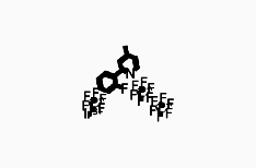 Cc1ccnc(-c2ccccc2F)c1.F[P-](F)(F)(F)(F)F.F[P-](F)(F)(F)(F)F.F[P-](F)(F)(F)(F)F.[Ir+3]